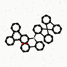 c1ccc(-c2ccccc2N(c2ccc3c4ccccc4c4ccccc4c3c2)c2cccc3c2-c2ccccc2C32c3ccccc3-c3ccccc32)cc1